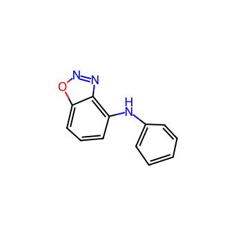 c1ccc(Nc2cccc3onnc23)cc1